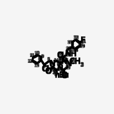 CCCC[C@H]1C(=O)N(CC(C)c2ccccc2)C[C@H]2N1C(=O)CN(C)N2C(=O)NCc1ccc(F)cc1